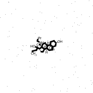 C=CC[C@@](C)(O)[C@H]1CC[C@H]2[C@@H]3CC=C4C[C@@H](O)CC[C@]4(C)[C@H]3CC[C@@]21CNCC(C)C